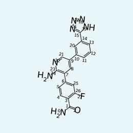 NC(=O)c1ccc(-c2cc(-c3cccc(-c4nnn[nH]4)c3)cnc2N)cc1F